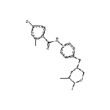 Cc1cc(Cl)ccc1C(=O)Nc1ccc(CC2[C]C(C)C(C)OC2)cc1